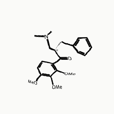 COc1ccc(C(=O)[C@@H](Cc2ccccc2)CN(C)C)c(OC)c1OC